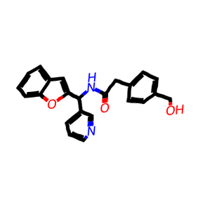 O=C(Cc1ccc(CO)cc1)NC(c1cccnc1)c1cc2ccccc2o1